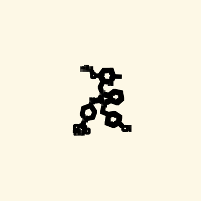 CCCCOc1ccc(C)nc1Cn1/c(=N/C2CCN(C(=O)OC(C)(C)C)CC2)n(Cc2ccc(C#N)cc2)c2ccccc21